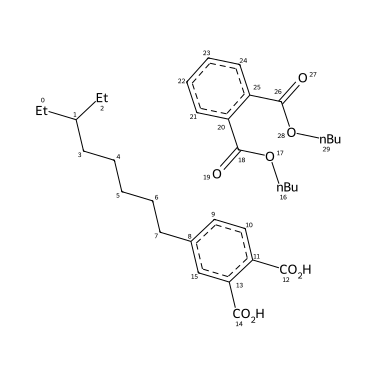 CCC(CC)CCCCCc1ccc(C(=O)O)c(C(=O)O)c1.CCCCOC(=O)c1ccccc1C(=O)OCCCC